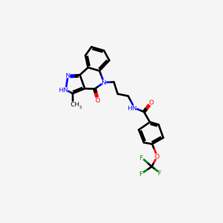 Cc1[nH]nc2c1c(=O)n(CCCNC(=O)c1ccc(OC(F)(F)F)cc1)c1ccccc21